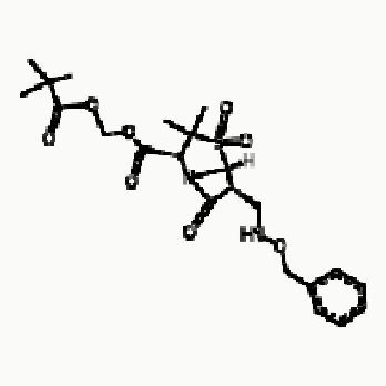 CC(C)(C)C(=O)OCOC(=O)[C@@H]1N2C(=O)[C@H](CNOCc3ccccc3)[C@H]2S(=O)(=O)C1(C)C